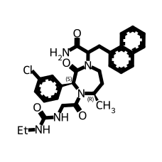 CCNC(=O)NCC(=O)N1[C@H](C)CCN(C(Cc2cccc3ccccc23)C(N)=O)C(=O)[C@@H]1c1cccc(Cl)c1